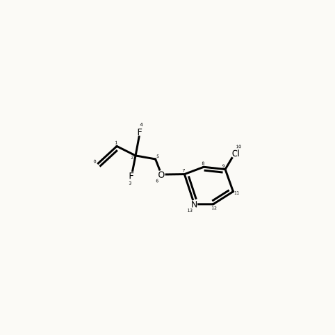 C=CC(F)(F)COc1cc(Cl)ccn1